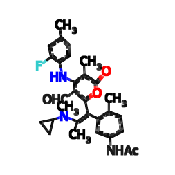 CC(=O)Nc1ccc(C)c(/C(=C(\C)N(C)C2CC2)c2oc(=O)c(C)c(Nc3ccc(C)cc3F)c2C=O)c1